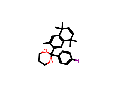 Cc1cc2c(cc1C1(c3ccc(I)cc3)OCCCO1)C(C)(C)C=CC2(C)C